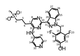 CS(=O)(=O)CCCc1cnc(-c2nn(Cc3c(F)cc(O)cc3F)c3ccccc23)nc1Nc1ccncc1